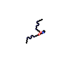 CCCCC/C=C\C/C=C\C/C=C\C/C=C\CCCCOCC(CN1CCCC1)OCCCC/C=C\C/C=C\C/C=C\C/C=C\CCCCC